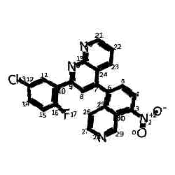 O=[N+]([O-])c1ccc(-c2cc(-c3cc(Cl)ccc3F)nc3ncccc23)c2ccncc12